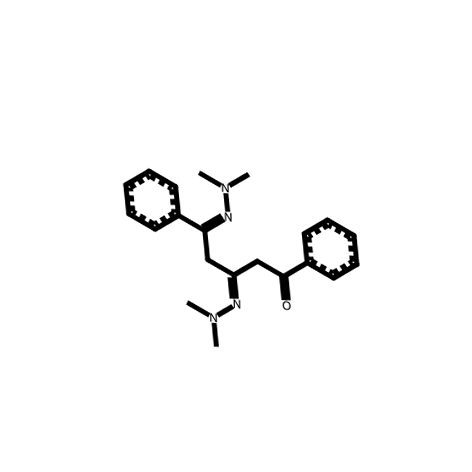 CN(C)N=C(CC(=O)c1ccccc1)CC(=NN(C)C)c1ccccc1